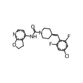 O=C(Nc1ccnc2c1CCO2)N1CCC(=Cc2c(F)cc(Cl)cc2F)CC1